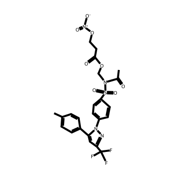 CC(=O)N(COC(=O)CCO[N+](=O)[O-])S(=O)(=O)c1ccc(-n2nc(C(F)(F)F)cc2-c2ccc(C)cc2)cc1